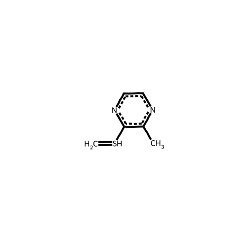 C=[SH]c1nccnc1C